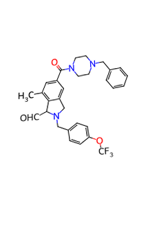 Cc1cc(C(=O)N2CCN(Cc3ccccc3)CC2)cc2c1C(C=O)N(Cc1ccc(OC(F)(F)F)cc1)C2